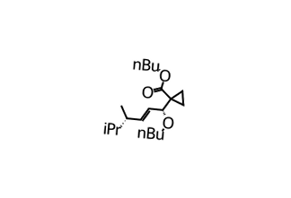 CCCCOC(=O)C1([C@@H](/C=C/[C@@H](C)C(C)C)OCCCC)CC1